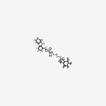 O=C(CCCCCNC(=O)OCc1cccc2c1Cc1ccccc1-2)Oc1c(F)c(F)c(F)c(F)c1F